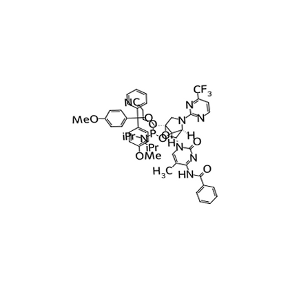 COc1ccc(C(OC[C@@]23CN(c4nccc(C(F)(F)F)n4)[C@@H]([C@H](n4cc(C)c(NC(=O)c5ccccc5)nc4=O)O2)[C@@H]3OP(OCCC#N)N(C(C)C)C(C)C)(c2ccccc2)c2ccc(OC)cc2)cc1